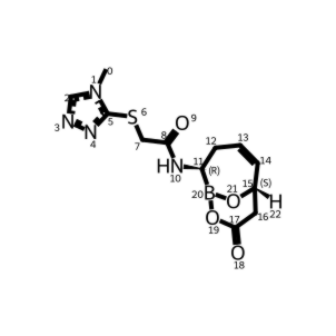 Cn1cnnc1SCC(=O)N[C@H]1CC=C[C@@H]2CC(=O)OB1O2